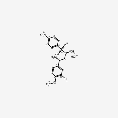 CN(C[C@H](N)c1ccc(OC(F)(F)F)c(Cl)c1)S(=O)(=O)c1ccc([N+](=O)[O-])cc1.Cl